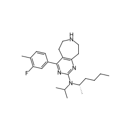 CCCC[C@H](C)N(c1nc2c(c(-c3ccc(C)c(F)c3)n1)CCNCC2)C(C)C